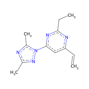 C=Cc1cc(-n2nc(C)nc2C)nc(CC)n1